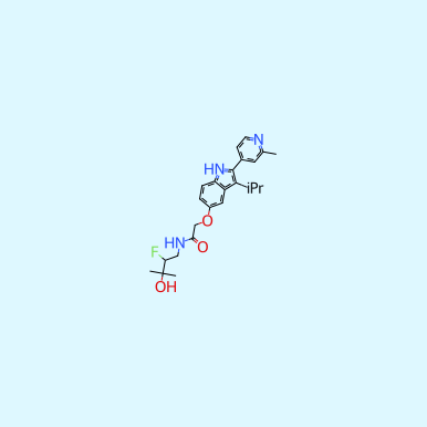 Cc1cc(-c2[nH]c3ccc(OCC(=O)NCC(F)C(C)(C)O)cc3c2C(C)C)ccn1